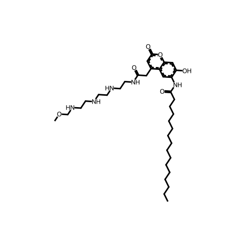 CCCCCCCCCCCCCCCC(=O)Nc1cc2c(CC(=O)NCCNCCNCCNCOC)cc(=O)oc2cc1O